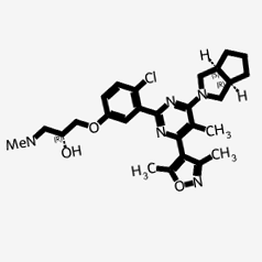 CNC[C@@H](O)COc1ccc(Cl)c(-c2nc(-c3c(C)noc3C)c(C)c(N3C[C@H]4CCC[C@H]4C3)n2)c1